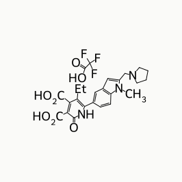 CCc1c(-c2ccc3c(c2)cc(CN2CCCC2)n3C)[nH]c(=O)c(C(=O)O)c1C(=O)O.O=C(O)C(F)(F)F